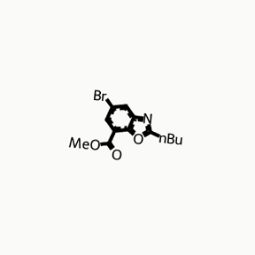 CCCCc1nc2cc(Br)cc(C(=O)OC)c2o1